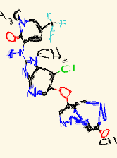 COc1cn2ncc(Oc3cnc4nc(Nc5cc(C(F)(F)F)cn(C)c5=O)n(C)c4c3Cl)c2cn1